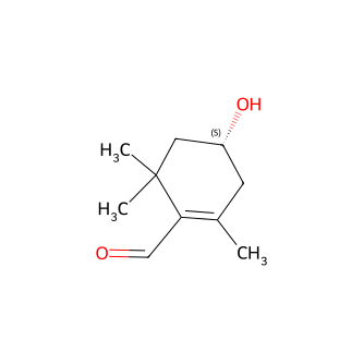 CC1=C(C=O)C(C)(C)C[C@H](O)C1